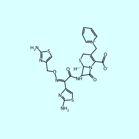 Nc1nc(CO/N=C(\C(=O)NC2C(=O)N3C(C(=O)[O-])=C(C[n+]4ccccc4)CS[C@H]23)c2csc(N)n2)cs1